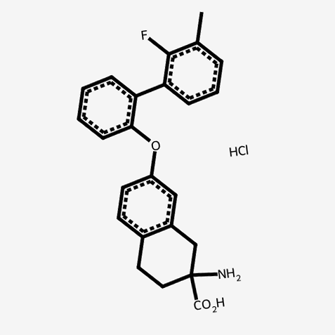 Cc1cccc(-c2ccccc2Oc2ccc3c(c2)CC(N)(C(=O)O)CC3)c1F.Cl